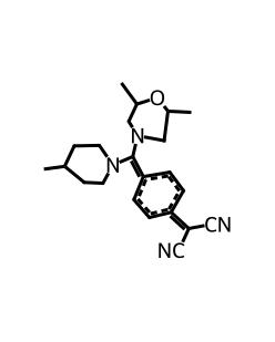 CC1CCN(C(=c2ccc(=C(C#N)C#N)cc2)N2CC(C)OC(C)C2)CC1